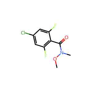 CON(C)C(=O)c1c(F)cc(Cl)cc1F